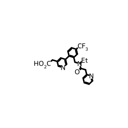 CCN(Cc1cc(C(F)(F)F)ccc1-c1cncc(CC(=O)O)c1)C(=O)Cc1ccccn1